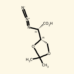 CC1(C)OC[C@@H]([C@H](N=[N+]=[N-])C(=O)O)O1